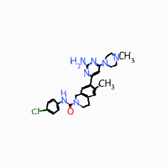 Cc1cc2c(cc1-c1cc(N3CCN(C)CC3)nc(N)n1)CN(C(=O)Nc1ccc(Cl)cc1)CC2